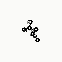 c1ccc(-c2cc3ccc4c(c5ccccc5n4-c4cc(-c5ccccn5)cc(-c5ccccn5)c4)c3s2)cc1